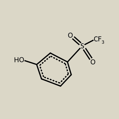 O=S(=O)(c1cccc(O)c1)C(F)(F)F